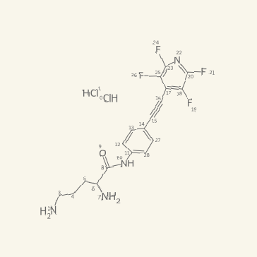 Cl.Cl.NCCCC(N)C(=O)Nc1ccc(C#Cc2c(F)c(F)nc(F)c2F)cc1